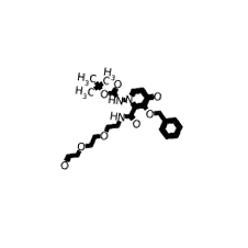 CC(C)(C)OC(=O)Nn1ccc(=O)c(OCc2ccccc2)c1C(=O)NCCOCCOCC=O